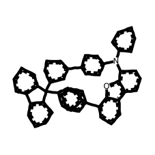 c1ccc(-c2cccc3c2oc2c(N(c4ccccc4)c4ccc(-c5cccc(C6(c7ccccc7)c7ccccc7-c7ccccc76)c5)cc4)cccc23)cc1